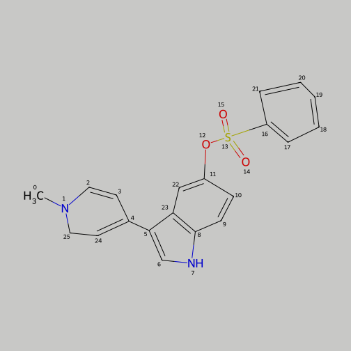 CN1C=CC(c2c[nH]c3ccc(OS(=O)(=O)c4ccccc4)cc23)=CC1